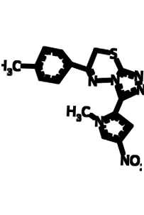 Cc1ccc(C2=Nn3c(nnc3-c3cc([N+](=O)[O-])cn3C)SC2)cc1